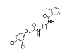 Cc1ccncc1C(=O)NC12CC(NC(=O)COc3ccc(Cl)c(Cl)c3)(C1)C2